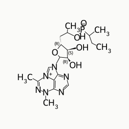 CCC(C)[PH](=O)OC(C)C[C@H]1OC(n2c[n+]3c4c(ncnc42)N(C)N=C3C)[C@H](O)[C@@H]1O